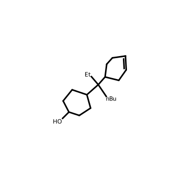 CCCCC(CC)(C1CC=CCC1)C1CCC(O)CC1